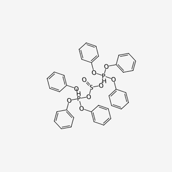 O=S(O[PH](Oc1ccccc1)(Oc1ccccc1)Oc1ccccc1)O[PH](Oc1ccccc1)(Oc1ccccc1)Oc1ccccc1